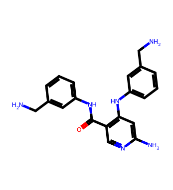 NCc1cccc(NC(=O)c2cnc(N)cc2Nc2cccc(CN)c2)c1